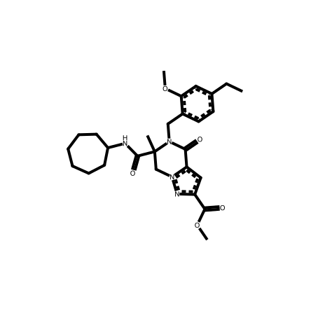 CCc1ccc(CN2C(=O)c3cc(C(=O)OC)nn3CC2(C)C(=O)NC2CCCCCC2)c(OC)c1